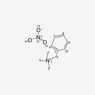 C[N+](C)(C)Cc1ccccc1.O=[N+]([O-])[O-]